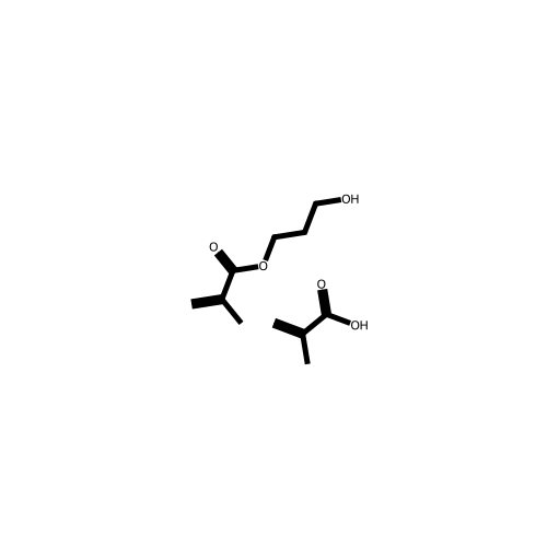 C=C(C)C(=O)O.C=C(C)C(=O)OCCCO